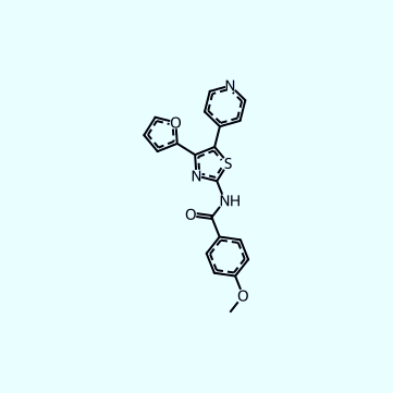 COc1ccc(C(=O)Nc2nc(-c3ccco3)c(-c3ccncc3)s2)cc1